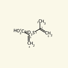 C=C(C)S(=O)(=O)O.C=CC(=O)O